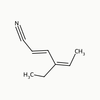 CC=C(C=CC#N)CC